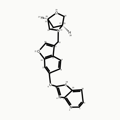 c1cnc2nc(Oc3ccc4c(CN5C[C@@H]6C[C@H]5CO6)coc4c3)sc2c1